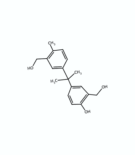 Cc1ccc(C(C)(C)c2ccc(O)c(CO)c2)cc1CO